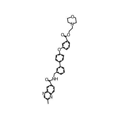 Cc1cnc2cc(C(=O)NCc3cccc(-c4ccc(Oc5cccc(C(=O)OCCN6CCOCC6)c5)cc4)c3)ccc2n1